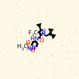 CS(=N)(=O)c1cc(NC(=O)c2c(C(F)(F)F)c(C3CC3)nn2CC2C3(CC3)C23CC3)cc[n+]1[O-]